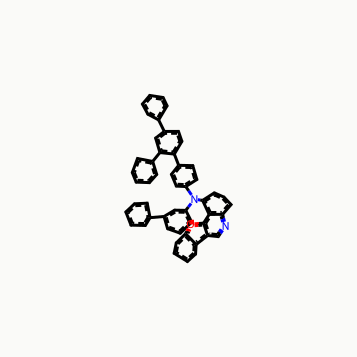 c1ccc(-c2cccc(N(c3ccc(-c4ccc(-c5ccccc5)cc4-c4ccccc4)cc3)c3cccc4ncc5c6ccccc6oc5c34)c2)cc1